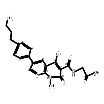 CCCCc1ccc(-c2cnc3c(c2)c(O)c(C(=O)NCC(=O)O)c(=O)n3C)cc1